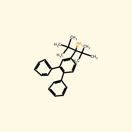 CC(C)(C)C(P)(c1ccc(-c2ccccc2)c(-c2ccccc2)c1)C(C)(C)C